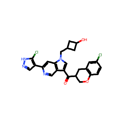 O=C(c1cn(CC2CC(O)C2)c2cc(-c3cn[nH]c3Cl)ncc12)C1COc2ccc(Cl)cc2C1